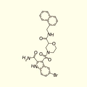 NC(=O)c1[nH]c2ccc(Br)cc2c1S(=O)(=O)N1CCOC(C(=O)NCc2cccc3ccccc23)C1